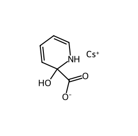 O=C([O-])C1(O)C=CC=CN1.[Cs+]